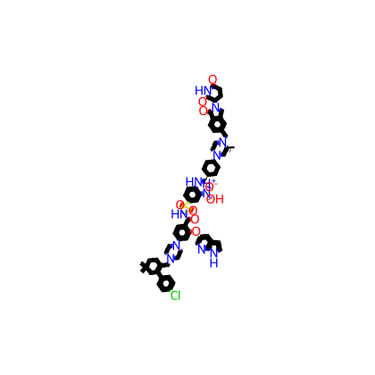 C[C@H]1CN([C@H]2CC[C@@H](CNc3ccc(S(=O)(=O)NC(=O)c4ccc(N5CCN(CC6=C(c7ccc(Cl)cc7)CC(C)(C)CC6)CC5)cc4Oc4cnc5[nH]ccc5c4)cc3[NH+]([O-])O)CC2)CCN1Cc1ccc2c(c1)CN(C1CCC(=O)NC1=O)C2=O